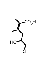 CC(CC(O)CCl)=C(C)C(=O)O